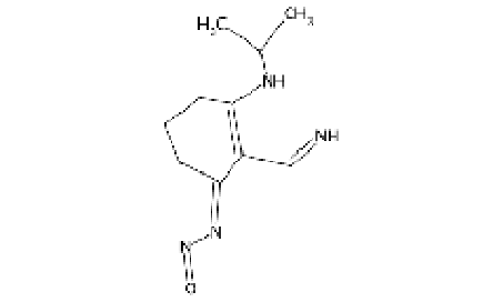 CC(C)NC1=C(C=N)/C(=N/N=O)CCC1